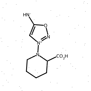 [NH-]c1c[n+](N2CCCCC2C(=O)O)no1